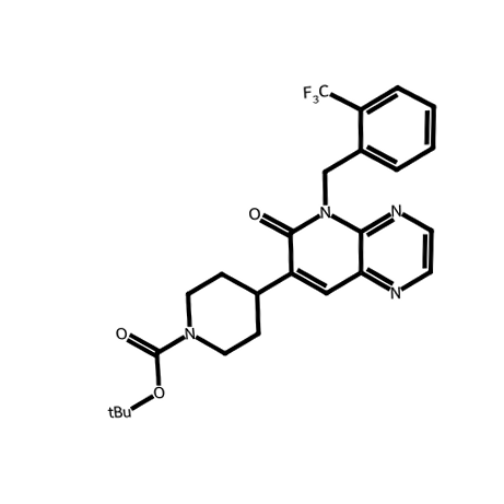 CC(C)(C)OC(=O)N1CCC(c2cc3nccnc3n(Cc3ccccc3C(F)(F)F)c2=O)CC1